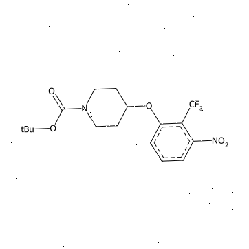 CC(C)(C)OC(=O)N1CCC(Oc2cccc([N+](=O)[O-])c2C(F)(F)F)CC1